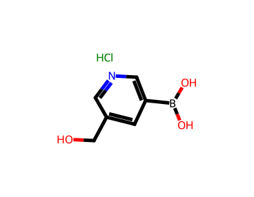 Cl.OCc1cncc(B(O)O)c1